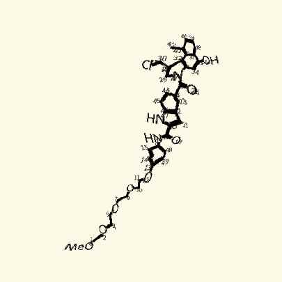 COCCOCCOCCOCCOc1ccc(NC(=O)c2cc3cc(C(=O)N4C[C@@H](CCl)c5c4cc(O)c4cccc(C)c54)ccc3[nH]2)cc1